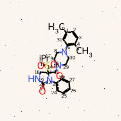 Cc1ccc(C)c(N2CCN(C(=O)C3(S(=O)(=O)C(C)C)CNC(=O)N3c3ccccc3)CC2)c1